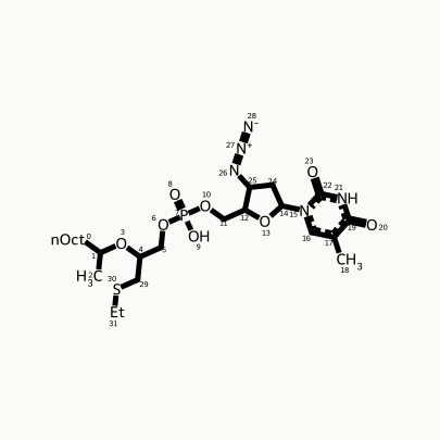 CCCCCCCCC(C)OC(COP(=O)(O)OCC1OC(n2cc(C)c(=O)[nH]c2=O)CC1N=[N+]=[N-])CSCC